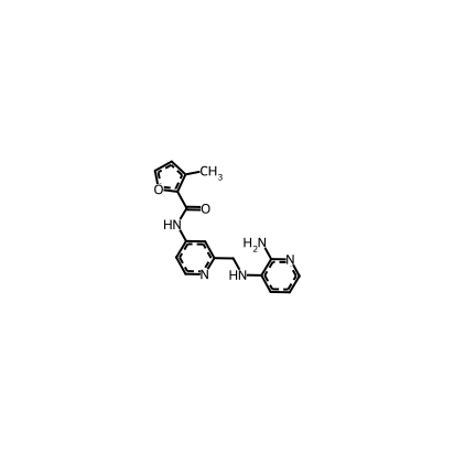 Cc1ccoc1C(=O)Nc1ccnc(CNc2cccnc2N)c1